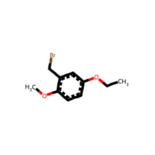 CCOc1ccc(OC)c(CBr)c1